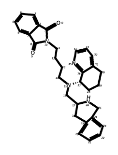 O=C1c2ccccc2C(=O)N1CCCCN(CC1Cc2ccccc2CN1)[C@H]1CCCc2cccnc21